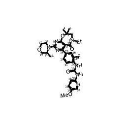 CCN1CC(C)(C)Oc2nc(N3CCOCC3C)nc(-c3ccc(NC(=O)Nc4ccc(OC)cn4)c(F)c3)c2C1=O